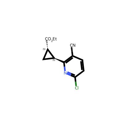 CCOC(=O)[C@H]1C[C@@H]1c1nc(Cl)ccc1C#N